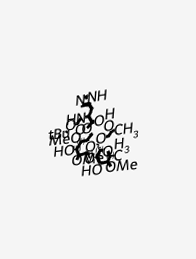 COC1C(O)[C@H](O[C@@H]2OC(COC(=O)C(Cc3cnc[nH]3)NC(=O)OC(C)(C)C)[C@@H](OC)[C@H](O)C2OC)[C@H](COCC(C)O)O[C@H]1C